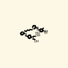 CCNc1cc(O)c(/N=N/c2ccc[n+](CCCCCC[n+]3ccccc3/N=N/c3ccc(N(CCO)CCO)cc3)c2)cc1C